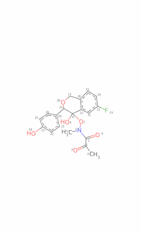 CC(=O)C(=O)N(C)OC1(O)c2cc(F)ccc2COC1c1ccc(O)cc1